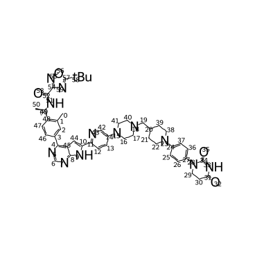 Cc1cc(-c2ncnc3[nH]c(-c4ccc(N5CCN(CC6CCN(c7ccc(N8CCC(=O)NC8=O)cc7)CC6)CC5)cn4)cc23)ccc1[C@@H](C)NC(=O)c1noc(C(C)(C)C)n1